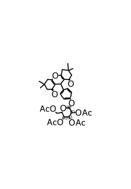 CC(=O)OCC1O[C@@H](Oc2ccc(C3C4=C(CC(C)(C)CC4=O)OC4=C3C(=O)CC(C)(C)C4)cc2)[C@@H](OC(C)=O)[C@@H](OC(C)=O)[C@@H]1OC(C)=O